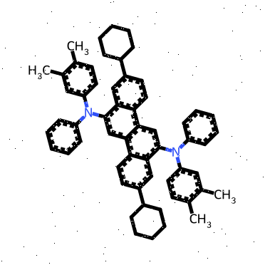 Cc1ccc(N(c2ccccc2)c2cc3c4ccc(C5CCCCC5)cc4c(N(c4ccccc4)c4ccc(C)c(C)c4)cc3c3ccc(C4CCCCC4)cc23)cc1C